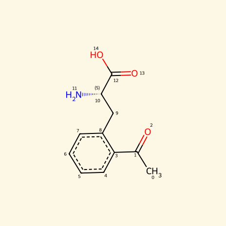 CC(=O)c1ccccc1C[C@H](N)C(=O)O